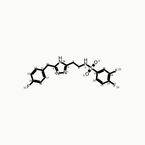 O=S(=O)(NCCc1nnc(Cc2ccc(F)cc2)[nH]1)c1ccc(F)c(F)c1